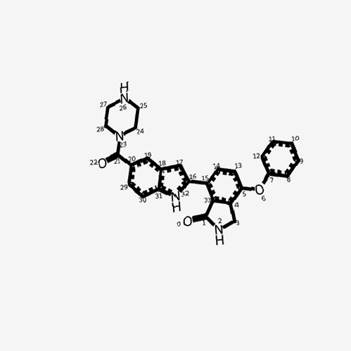 O=C1NCc2c(Oc3ccccc3)ccc(-c3cc4cc(C(=O)N5CCNCC5)ccc4[nH]3)c21